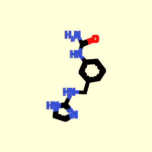 NC(=O)Nc1cccc(CNc2ncc[nH]2)c1